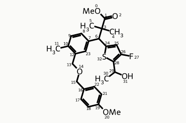 COC(=O)C(C)(C)C(c1ccc(C)c(COCc2ccc(OC)cc2)c1)c1cc(F)c(C(C)O)s1